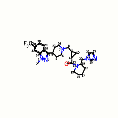 Cn1nc(C2CCN(CC3C[C@H]3C(=O)N3CCCCC3Cn3ccnc3)CC2)c2ccc(C(F)(F)F)cc21